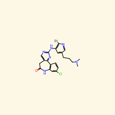 CCc1ncc(CCCN(C)C)cc1Nc1ncc2c(n1)-c1ccc(Cl)cc1NC(=O)C2